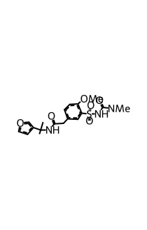 CNC(=O)NS(=O)(=O)c1cc(CC(=O)NC(C)(C)c2ccoc2)ccc1OC